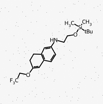 CC(C)(C)[Si](C)(C)OCCNc1ccc2c(c1)CCC(OCC(F)(F)F)=C2